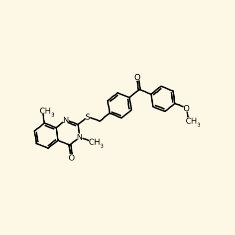 COc1ccc(C(=O)c2ccc(CSc3nc4c(C)cccc4c(=O)n3C)cc2)cc1